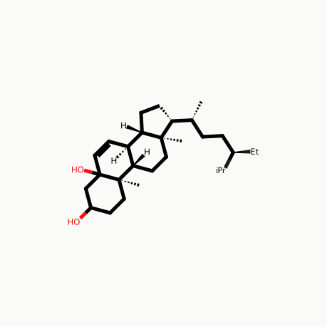 CC[C@H](CC[C@@H](C)[C@H]1CC[C@H]2[C@@H]3C=CC4(O)CC(O)CC[C@]4(C)[C@H]3CC[C@]12C)C(C)C